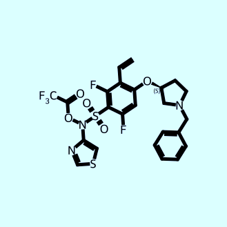 C=Cc1c(O[C@H]2CCN(Cc3ccccc3)C2)cc(F)c(S(=O)(=O)N(OC(=O)C(F)(F)F)c2cscn2)c1F